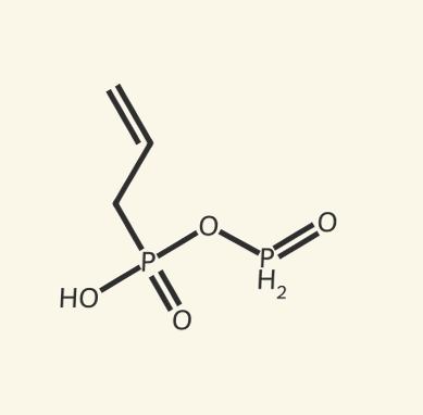 C=CCP(=O)(O)O[PH2]=O